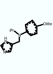 COc1ccc(N(Cc2cnc[nH]2)C(C)C)cc1